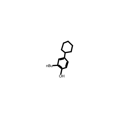 CCCCc1cc(C2CCCCC2)ccc1O